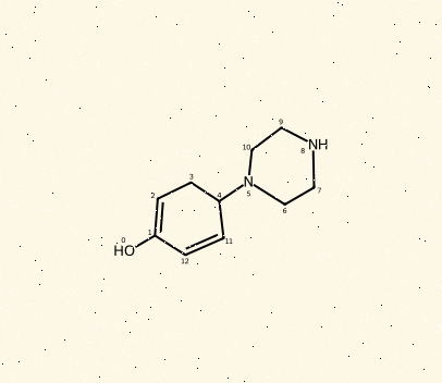 OC1=CCC(N2CCNCC2)C=C1